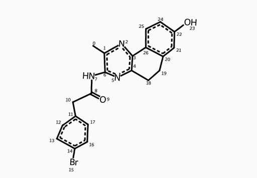 Cc1nc2c(nc1NC(=O)Cc1ccc(Br)cc1)CCc1cc(O)ccc1-2